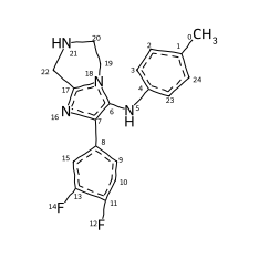 Cc1ccc(Nc2c(-c3ccc(F)c(F)c3)nc3n2CCNC3)cc1